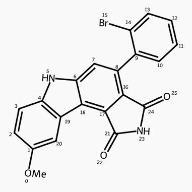 COc1ccc2[nH]c3cc(-c4ccccc4Br)c4c(c3c2c1)C(=O)NC4=O